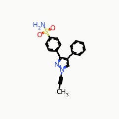 CC#Cn1cc(-c2ccccc2)c(-c2ccc(S(N)(=O)=O)cc2)n1